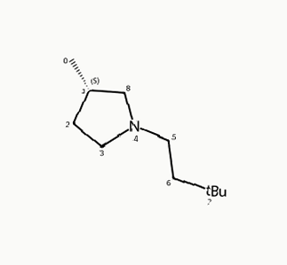 C[C@H]1CCN(CCC(C)(C)C)C1